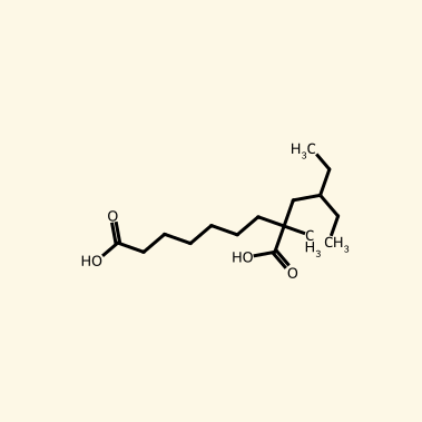 CCC(CC)CC(C)(CCCCCCC(=O)O)C(=O)O